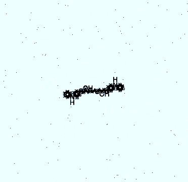 OC(COCCOCC(O)COc1ccc(Nc2ccccc2)cc1)COc1ccc(Nc2ccccc2)cc1